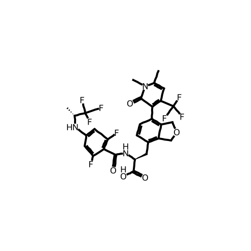 Cc1cc(C(F)(F)F)c(-c2ccc(C[C@H](NC(=O)c3c(F)cc(N[C@H](C)C(F)(F)F)cc3F)C(=O)O)c3c2COC3)c(=O)n1C